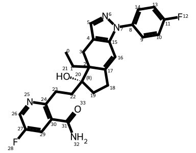 CCC12Cc3cnn(-c4ccc(F)cc4)c3C=C1CC[C@@]2(O)CCc1ncc(F)cc1C(N)=O